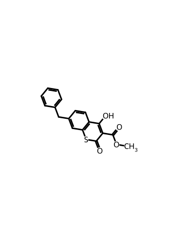 COC(=O)c1c(O)c2ccc(Cc3ccccc3)cc2sc1=O